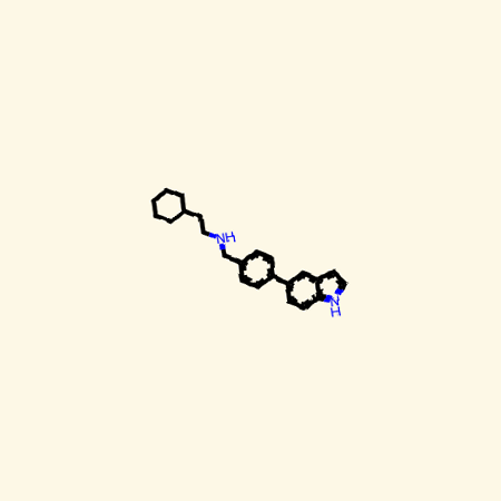 c1cc2cc(-c3ccc(CNCCC4CCCCC4)cc3)ccc2[nH]1